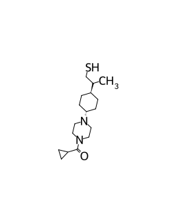 CC(CS)[C@H]1CC[C@H](N2CCN(C(=O)C3CC3)CC2)CC1